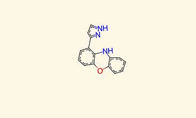 c1ccc2c(c1)Nc1c(cccc1-c1cc[nH]n1)O2